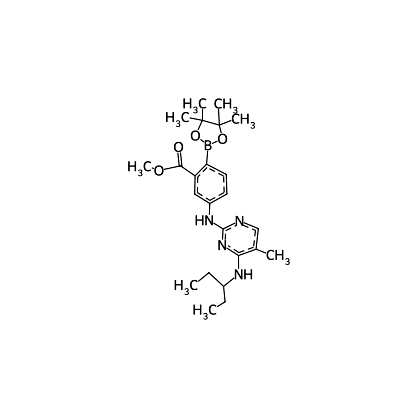 CCC(CC)Nc1nc(Nc2ccc(B3OC(C)(C)C(C)(C)O3)c(C(=O)OC)c2)ncc1C